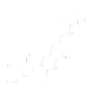 Nc1nc(=O)n([C@@H]2O[C@H](CO)[C@H](O)C2O)cc1CCCNC(=O)C(F)(F)F